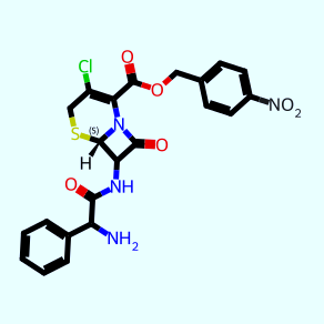 NC(C(=O)NC1C(=O)N2C(C(=O)OCc3ccc([N+](=O)[O-])cc3)=C(Cl)CS[C@@H]12)c1ccccc1